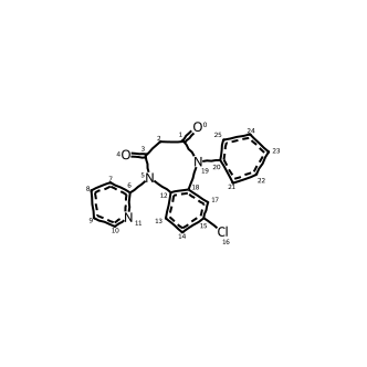 O=C1CC(=O)N(c2ccccn2)c2ccc(Cl)cc2N1c1ccccc1